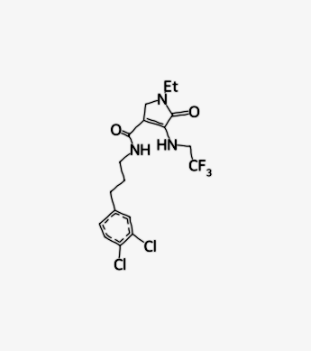 CCN1CC(C(=O)NCCCc2ccc(Cl)c(Cl)c2)=C(NCC(F)(F)F)C1=O